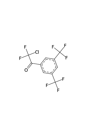 O=C(c1cc(C(F)(F)F)cc(C(F)(F)F)c1)C(F)(F)Cl